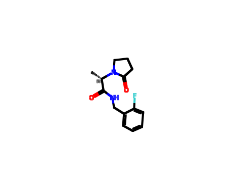 C[C@@H](C(=O)NCc1ccccc1F)N1CCCC1=O